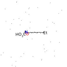 CC/C=C/C/C=C/C/C=C/C/C=C/C/C=C/CCCC(=O)n1cccc1CC(=O)O